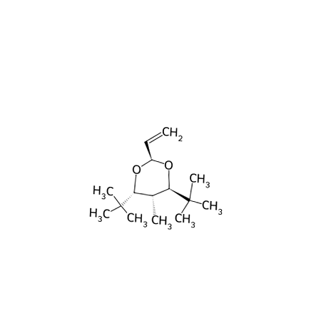 C=C[C@H]1O[C@@H](C(C)(C)C)[C@H](C)[C@H](C(C)(C)C)O1